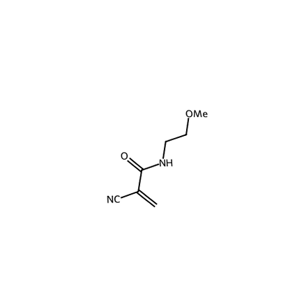 C=C(C#N)C(=O)NCCOC